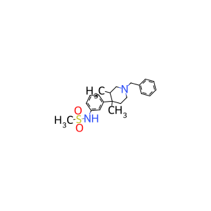 CC1CN(Cc2ccccc2)CCC1(C)c1cccc(NS(C)(=O)=O)c1